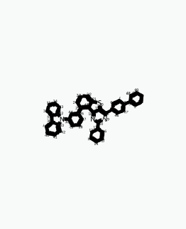 c1ccc(-c2ccc(-c3nc(-c4ccccc4)nc4c3sc3cccc(-c5cccc(-n6c7ccccc7c7ccccc76)c5)c34)cc2)cc1